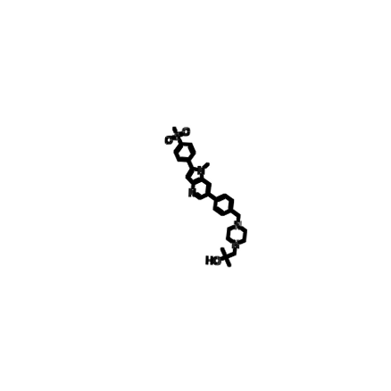 Cn1c(-c2ccc(S(C)(=O)=O)cc2)cc2ncc(-c3ccc(CN4CCN(CC(C)(C)O)CC4)cc3)cc21